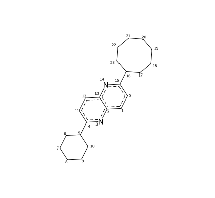 c1cc2nc(C3CCCCC3)ccc2nc1C1CCCCCCC1